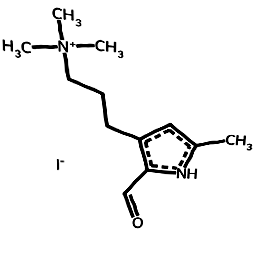 Cc1cc(CCC[N+](C)(C)C)c(C=O)[nH]1.[I-]